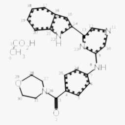 CC(=O)O.O=C(c1ccc(Nc2cncc(-c3cc4ccccc4[nH]3)n2)cc1)N1CCOCC1